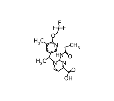 CCC(=O)NC1N=C(C(=O)O)C=CN1C(C)c1cnc(OCC(F)(F)F)c(C)c1